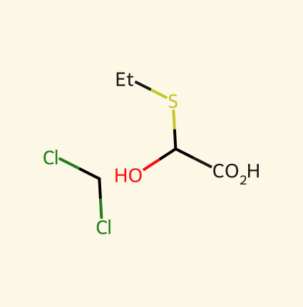 CCSC(O)C(=O)O.ClCCl